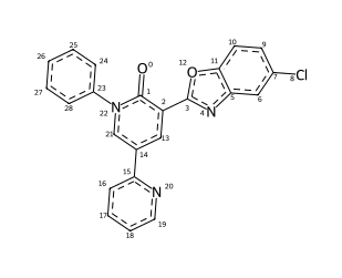 O=c1c(-c2nc3cc(Cl)ccc3o2)cc(-c2ccccn2)cn1-c1ccccc1